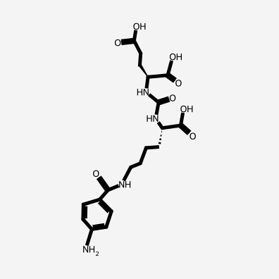 Nc1ccc(C(=O)NCCCC[C@H](NC(=O)N[C@@H](CCC(=O)O)C(=O)O)C(=O)O)cc1